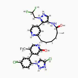 C[C@@H]1CCC[C@H](n2cc(C(F)(F)F)c(-c3cc(Cl)ccc3-n3cc(Cl)nn3)cc2=O)c2cc(ccn2)-c2c(cnn2CC(F)F)NC1=O